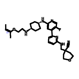 C/C=C(/C)OCCN[C@H]1CC[C@H](Nc2cc(-c3cccc(NCC4(C#N)CCOCC4)n3)c(F)cn2)CC1